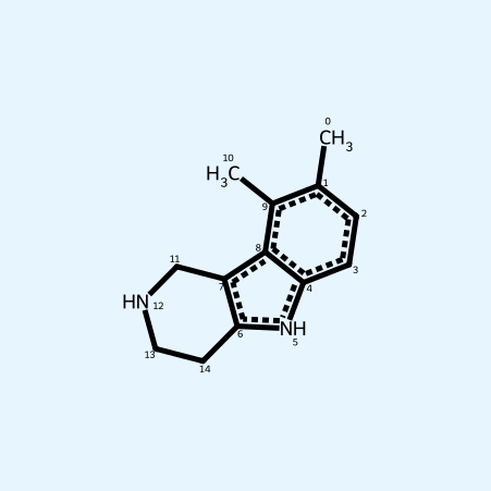 Cc1ccc2[nH]c3c(c2c1C)CNCC3